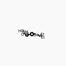 CCN(CC)CCNCc1ccc(-c2ccc(C(=O)NO)o2)cc1